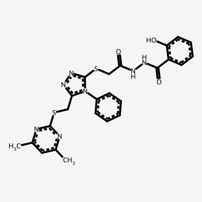 Cc1cc(C)nc(SCc2nnc(SCC(=O)NNC(=O)c3ccccc3O)n2-c2ccccc2)n1